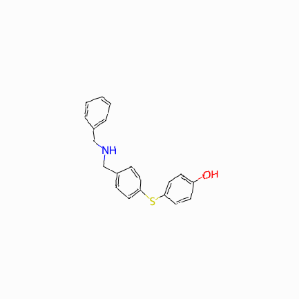 Oc1ccc(Sc2ccc(CNCc3ccccc3)cc2)cc1